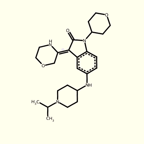 CC(C)N1CCC(Nc2ccc3c(c2)/C(=C2\COCCN2)C(=O)N3C2CCOCC2)CC1